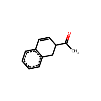 CC(=O)C1C=Cc2ccccc2C1